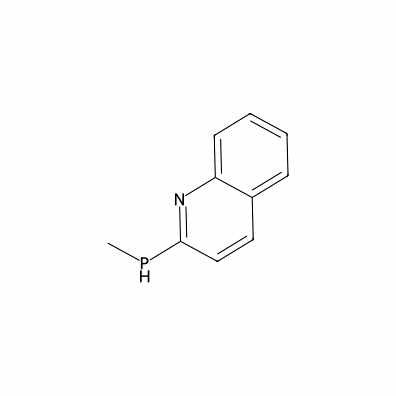 CPc1ccc2ccccc2n1